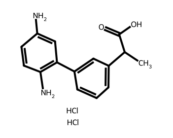 CC(C(=O)O)c1cccc(-c2cc(N)ccc2N)c1.Cl.Cl